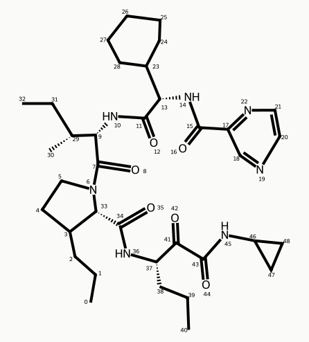 CCCC1CCN(C(=O)[C@@H](NC(=O)[C@@H](NC(=O)c2cnccn2)C2CCCCC2)[C@H](C)CC)[C@@H]1C(=O)N[C@@H](CCC)C(=O)C(=O)NC1CC1